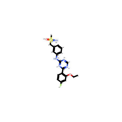 CCOc1cc(F)ccc1-c1ncnc(Nc2cccc(CS(C)(=N)=O)c2)n1